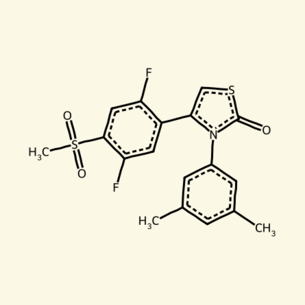 Cc1cc(C)cc(-n2c(-c3cc(F)c(S(C)(=O)=O)cc3F)csc2=O)c1